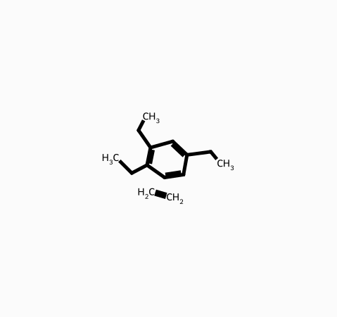 C=C.CCc1ccc(CC)c(CC)c1